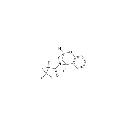 C[C@]1(C(=O)N2C[C@@H]3C[C@H]2c2ccccc2O3)CC1(F)F